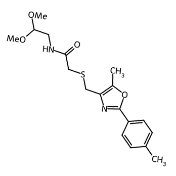 COC(CNC(=O)CSCc1nc(-c2ccc(C)cc2)oc1C)OC